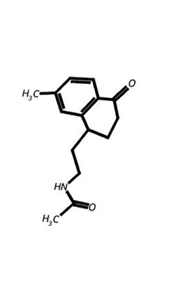 CC(=O)NCCC1CCC(=O)c2ccc(C)cc21